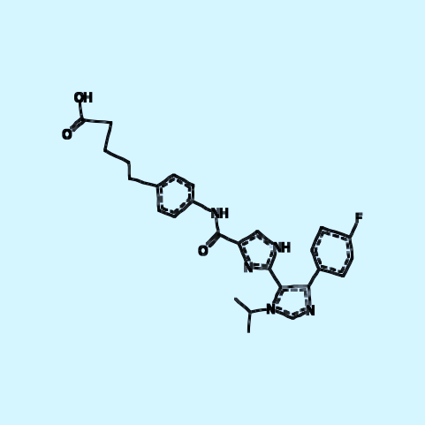 CC(C)n1cnc(-c2ccc(F)cc2)c1-c1nc(C(=O)Nc2ccc(CCCCC(=O)O)cc2)c[nH]1